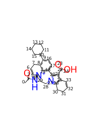 CC(=O)N[N@+]12C=CCc3c(C4CCCCC4)ccc(c31)-c1c(C(=O)O)c3c(n1CC2)CCC=C3